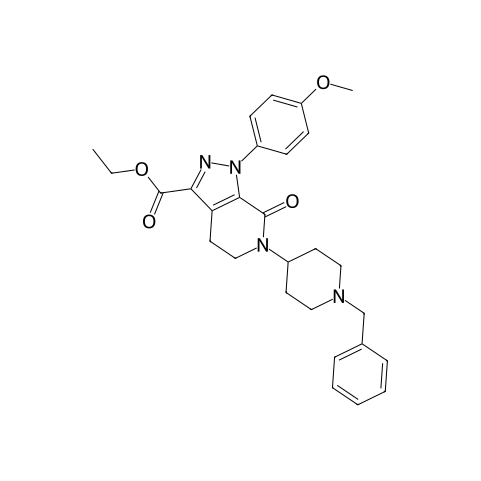 CCOC(=O)c1nn(-c2ccc(OC)cc2)c2c1CCN(C1CCN(Cc3ccccc3)CC1)C2=O